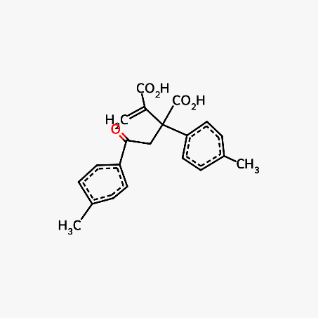 C=C(C(=O)O)C(CC(=O)c1ccc(C)cc1)(C(=O)O)c1ccc(C)cc1